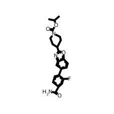 CC(C)OC(=O)N1CCC(c2nc3cc(-c4ccc(C(N)=O)cc4F)ccc3o2)CC1